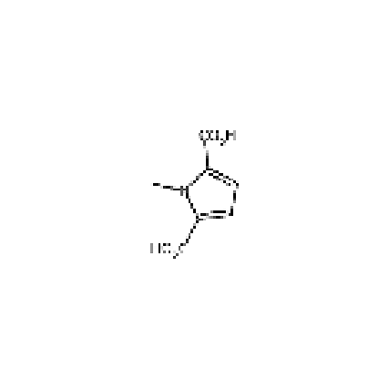 Cn1c(C(=O)O)ccc1C(=O)O